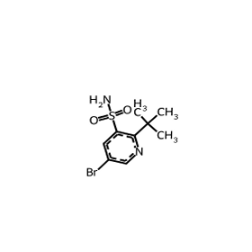 CC(C)(C)c1ncc(Br)cc1S(N)(=O)=O